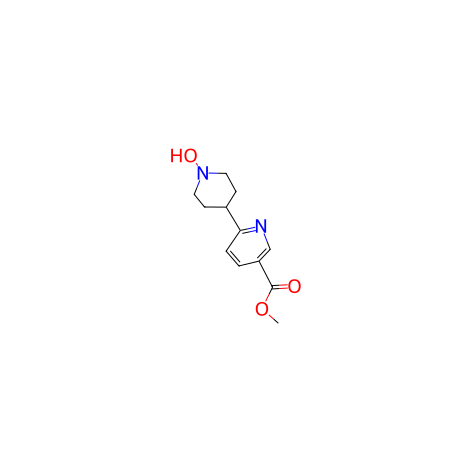 COC(=O)c1ccc(C2CCN(O)CC2)nc1